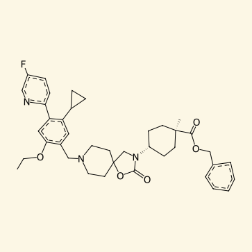 CCOc1cc(-c2ccc(F)cn2)c(C2CC2)cc1CN1CCC2(CC1)CN([C@H]1CC[C@](C)(C(=O)OCc3ccccc3)CC1)C(=O)O2